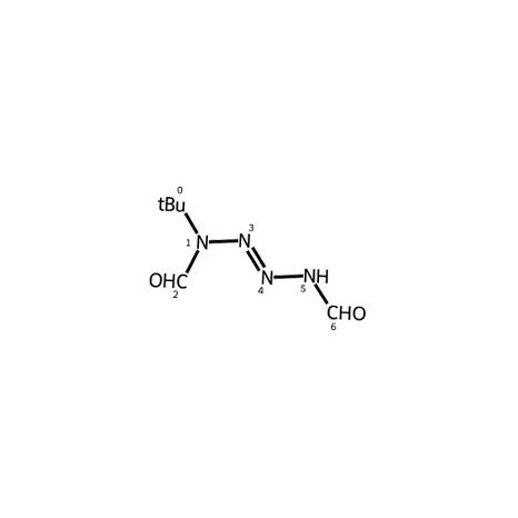 CC(C)(C)N(C=O)/N=N/NC=O